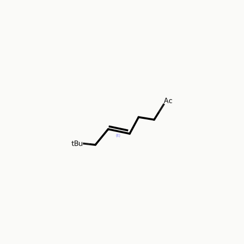 CC(=O)CC/C=C/CC(C)(C)C